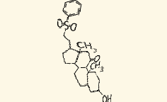 CC12CC(=O)C3C(CCC4CC(O)CCC43C)C1CCC2CCS(=O)(=O)c1ccccc1